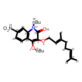 CCCCOc1c(OC/C=C(\C)CCC=C(C)C)c(=O)n(CCCC)c2cc([N+](=O)[O-])ccc12